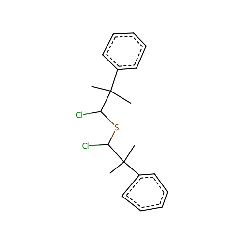 CC(C)(c1ccccc1)C(Cl)SC(Cl)C(C)(C)c1ccccc1